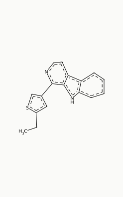 CCc1cc(-c2nccc3c2[nH]c2ccccc23)cs1